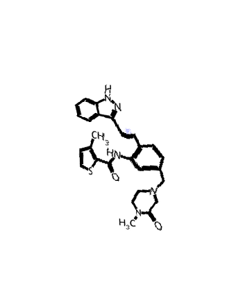 Cc1ccsc1C(=O)Nc1cc(CN2CCN(C)C(=O)C2)ccc1/C=C/c1n[nH]c2ccccc12